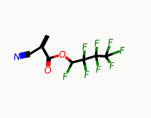 C=C(C#N)C(=O)OC(F)C(F)(F)C(F)(F)C(F)(F)F